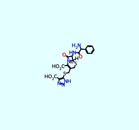 NC(C(=O)NC1C(=O)N2C(C(=O)O)=C(CSc3[nH]nnc3C(=O)O)CS[C@@H]12)c1ccccc1